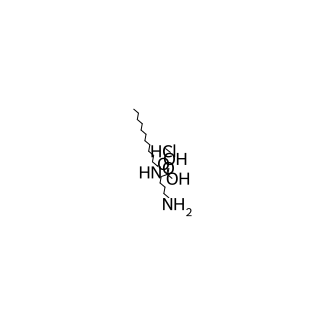 CCCCCCCCCCCC(=O)NC(CCCCN)C(=O)O.CCO.Cl